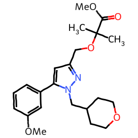 COC(=O)C(C)(C)OCc1cc(-c2cccc(OC)c2)n(CC2CCOCC2)n1